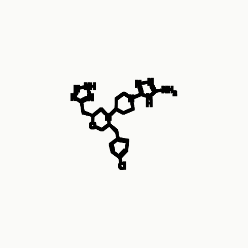 Nc1nnc(N2CCC(N3C[C@H](Cc4nn[nH]n4)OC[C@@H]3Cc3ccc(Cl)cc3)CC2)[nH]1